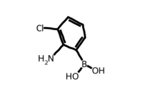 Nc1c(Cl)cccc1B(O)O